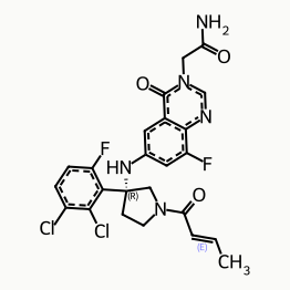 C/C=C/C(=O)N1CC[C@@](Nc2cc(F)c3ncn(CC(N)=O)c(=O)c3c2)(c2c(F)ccc(Cl)c2Cl)C1